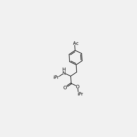 CC(=O)c1ccc(CC(NC(C)C)C(=O)OC(C)C)cc1